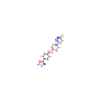 Clc1ccc(N2CC=C(COc3ccc(C4=NCCO4)cc3)CC2)nn1